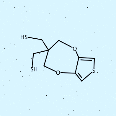 SCC1(CS)COc2cscc2OC1